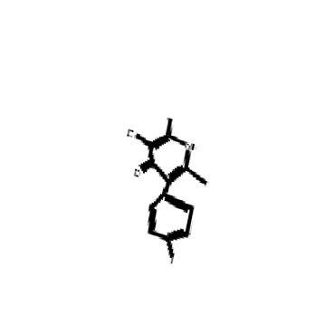 Cc1[nH]c(C)c(-c2ccc(I)cc2)c(=O)c1Cl